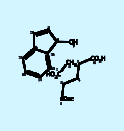 CC(=O)O.CCCCCCCCCCCCCC(=O)O.OC1C=Cc2ccccc21